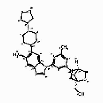 Cc1nc(N2C[C@@]3(CO)C[C@@H]2CO3)cc(-n2ncc3cc(C)c(C4CCN([C@H]5CCOC5)CC4)cc32)n1